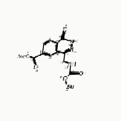 COC(=O)c1ccc2c(=O)[nH]nc(CNC(=O)OC(C)(C)C)c2c1